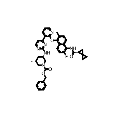 Cc1ccc2c(NC(=O)[C@H]3CC34CC4)c(F)ccc2c1Oc1ncccc1-c1ccnc(N[C@H]2C[C@@H](C)CN(C(=O)OCc3ccccc3)C2)n1